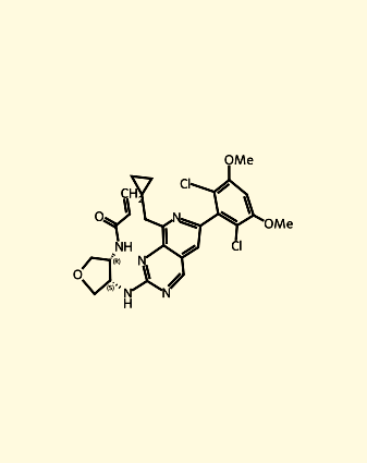 C=CC(=O)N[C@H]1COC[C@H]1Nc1ncc2cc(-c3c(Cl)c(OC)cc(OC)c3Cl)nc(CC3CC3)c2n1